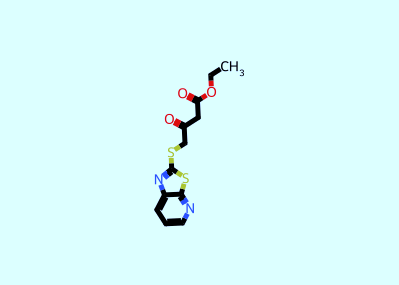 CCOC(=O)CC(=O)CSc1nc2cccnc2s1